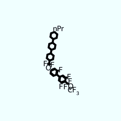 CCCC1CCC(C2CCC(C3CCC(C(F)(F)Oc4ccc(-c5cc(F)c(C(F)(F)OC(F)(F)F)c(F)c5)c(F)c4)CC3)CC2)CC1